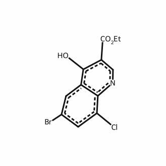 CCOC(=O)c1cnc2c(Cl)cc(Br)cc2c1O